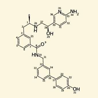 C[C@H](Cc1cccc(C(=O)NCc2cccc(-c3ccc(O)cc3)c2)c1)NC[C@H](O)c1ccc(N)nc1